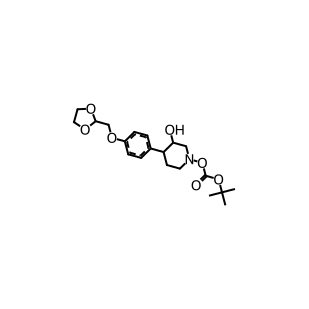 CC(C)(C)OC(=O)ON1CCC(c2ccc(OCC3OCCO3)cc2)C(O)C1